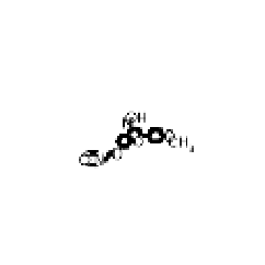 COc1ccc(-c2c/c(=N\O)c3ccc(OCCN4CCOCC4)cc3o2)cc1